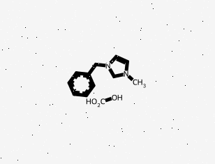 CN1C=CN(Cc2ccccc2)C1.O=C(O)O